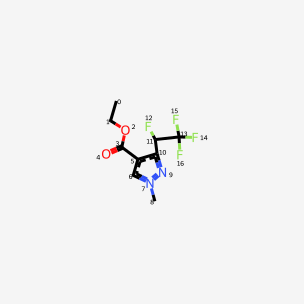 CCOC(=O)c1cn(C)nc1C(F)C(F)(F)F